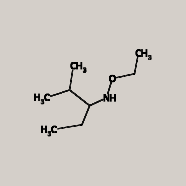 CCONC(CC)C(C)C